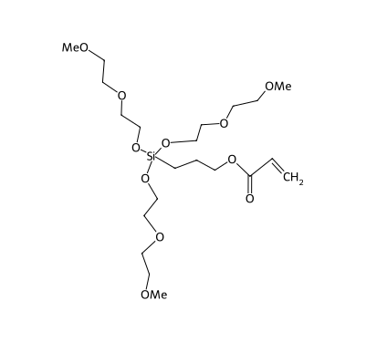 C=CC(=O)OCCC[Si](OCCOCCOC)(OCCOCCOC)OCCOCCOC